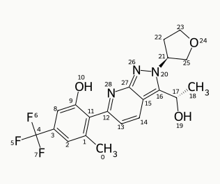 Cc1cc(C(F)(F)F)cc(O)c1-c1ccc2c([C@H](C)O)n([C@H]3CCOC3)nc2n1